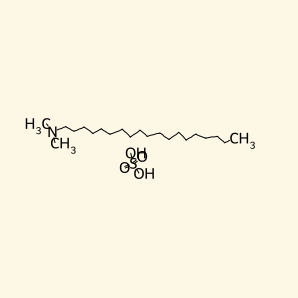 CCCCCCCCCCCCCCCCCCCN(C)C.O=S(=O)(O)O